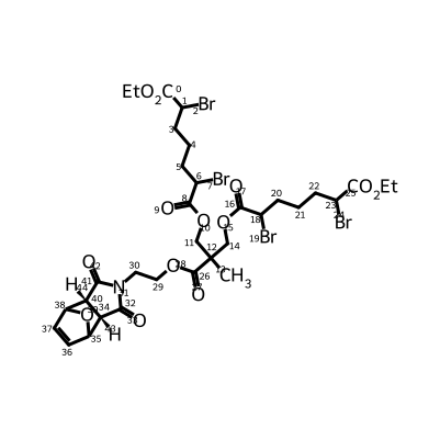 CCOC(=O)C(Br)CCCC(Br)C(=O)OCC(C)(COC(=O)C(Br)CCCC(Br)C(=O)OCC)C(=O)OCCN1C(=O)[C@@H]2C3C=CC(O3)[C@@H]2C1=O